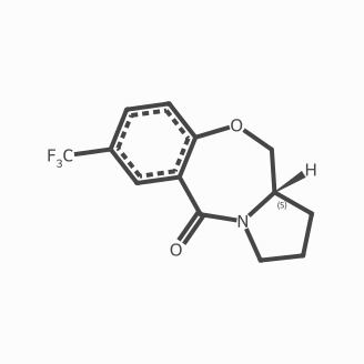 O=C1c2cc(C(F)(F)F)ccc2OC[C@@H]2CCCN12